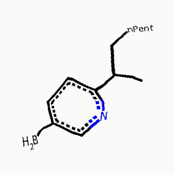 Bc1ccc(C(C)CCCCCC)nc1